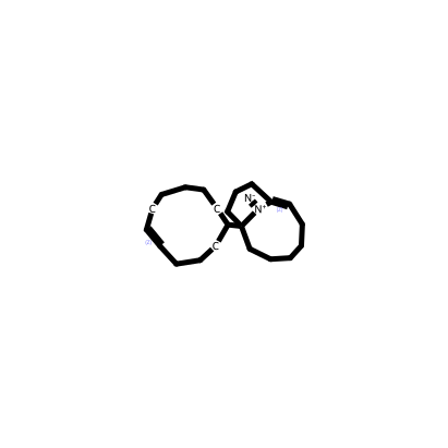 [N-]=[N+]1/C2=C\CCCCCC1(C1CCC/C=C\CCCCC1)CCC2